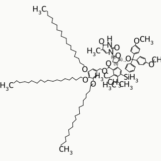 CCCCCCCCCCCCCCCCCCOc1cc(COC(=O)c2c([C@@H]3C[C@H](n4cc(C)c(=O)[nH]c4=O)O[C@@H]3COC(c3ccccc3)(c3ccc(OC)cc3)c3ccc(OC)cc3)cc([SiH3])c(C(C)C)c2C(C)C)cc(OCCCCCCCCCCCCCCCCCC)c1OCCCCCCCCCCCCCCCCCC